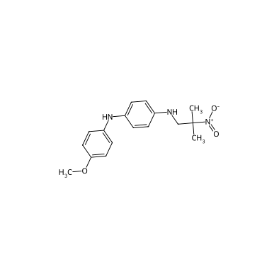 COc1ccc(Nc2ccc(NCC(C)(C)[N+](=O)[O-])cc2)cc1